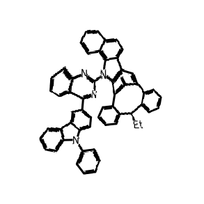 CC[C@@H]1c2ccccc2-c2cc3c4ccc5ccccc5c4n(-c4nc(-c5ccc6c(c5)c5ccccc5n6-c5ccccc5)c5ccccc5n4)c3c(c2C)-c2ccccc21